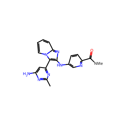 CNC(=O)c1ccc(Nc2nc3ccccn3c2-c2cc(N)nc(C)n2)cn1